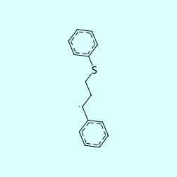 [CH](CCSc1ccccc1)c1ccccc1